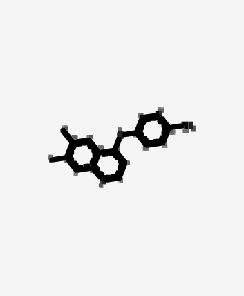 Cc1cc2nccc(Oc3ccc(N)nc3)c2cc1C